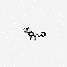 O=C(OCc1ccccc1)c1ccc(NC(=O)C(F)(F)F)cc1F